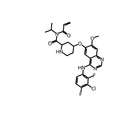 C=CC(=O)N(C(=O)C1CC(Oc2cc3c(Nc4ccc(F)c(Cl)c4F)ncnc3cc2OC)CCN1)C(C)C